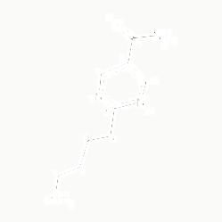 CCCCCc1ncc(C(N)=O)cn1